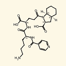 NCCCC[C@H](NC(=O)c1ccncc1)C(=O)N[C@H](CCC(=O)N1[C@H](C(=O)O)C[C@@H]2CCCC[C@@H]21)C(=O)O